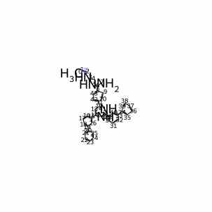 C/C=C\NCNC(N)c1ccc(C2C=C(c3cccc(-c4ccccc4)c3)NC(c3cccc(-c4ccccc4)c3)N2)cc1